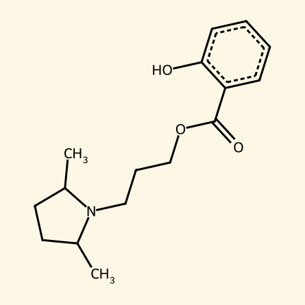 CC1CCC(C)N1CCCOC(=O)c1ccccc1O